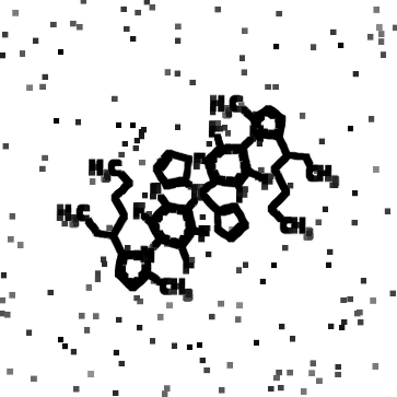 CCCCC(CC)c1ccc(C)n1-c1c(F)c(F)[c]([Ti]([C]2=CC=CC2)([C]2=CC=CC2)[c]2c(F)c(F)c(-n3c(C)ccc3C(CC)CCCC)c(F)c2F)c(F)c1F